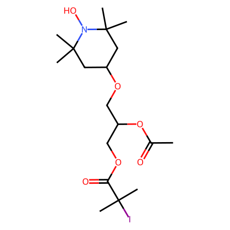 CC(=O)OC(COC(=O)C(C)(C)I)COC1CC(C)(C)N(O)C(C)(C)C1